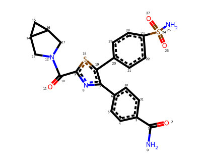 NC(=O)c1ccc(-c2nc(C(=O)N3CC4CC4C3)sc2-c2ccc(S(N)(=O)=O)cc2)cc1